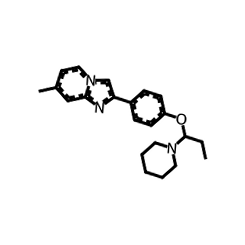 CCC(Oc1ccc(-c2cn3ccc(C)cc3n2)cc1)N1CCCCC1